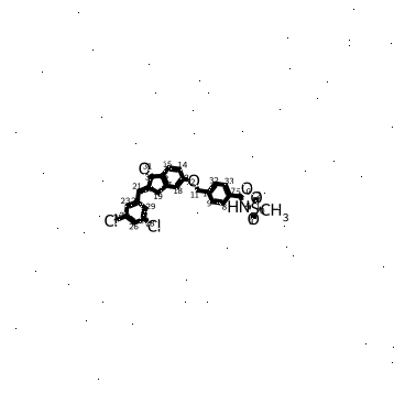 CS(=O)(=O)NC(=O)c1ccc(COc2ccc3c(c2)C/C(=C\c2cc(Cl)cc(Cl)c2)C3=O)cc1